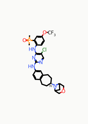 CP(C)(=O)c1cc(OC(F)(F)F)ccc1Nc1nc(Nc2ccc3c(c2)CC[C@@H](N2C4COCC2C4)CC3)ncc1Cl